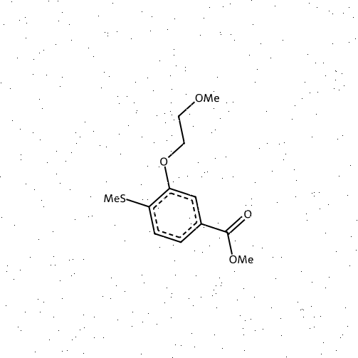 COCCOc1cc(C(=O)OC)ccc1SC